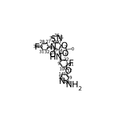 CCOc1c(C(=O)Nc2ccc(Oc3ccnc(N)c3)c(F)c2)c(=O)n(-c2ccc(F)cc2)c2scnc12